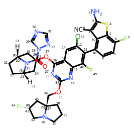 N#Cc1c(N)sc2c(F)ccc(-c3c(Cl)cc4c(OC5C[C@H]6CC[C@@H](C5)N6C(=O)n5cncn5)nc(OC[C@@]56CCCN5C[C@H](F)C6)nc4c3F)c12